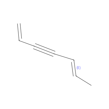 C=CC#C/C=C/C